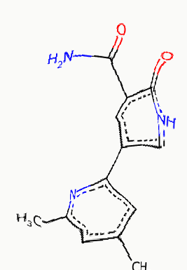 Cc1cc(C)nc(-c2c[nH]c(=O)c(C(N)=O)c2)c1